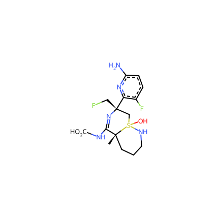 C[C@]12CCCNS1(O)C[C@@](CF)(c1nc(N)ccc1F)N=C2NC(=O)O